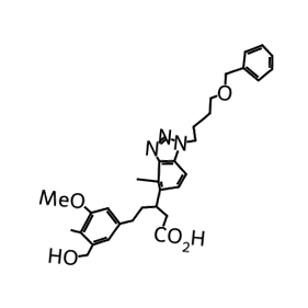 COc1cc(CCC(CC(=O)O)c2ccc3c(nnn3CCCCOCc3ccccc3)c2C)cc(CO)c1C